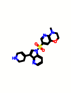 CN1CCOc2cc(S(=O)(=O)n3cc(C4=CCNCC4)c4ncccc43)cnc21